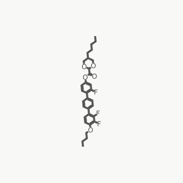 CCCCCC1COC(C(=O)Oc2ccc(-c3ccc(-c4ccc(OCCCC)c(F)c4F)cc3)c(F)c2)OC1